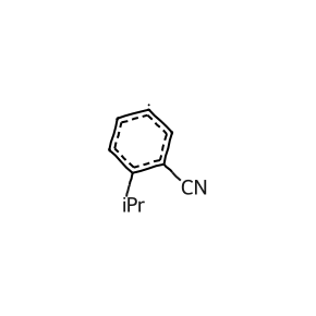 CC(C)c1cc[c]cc1C#N